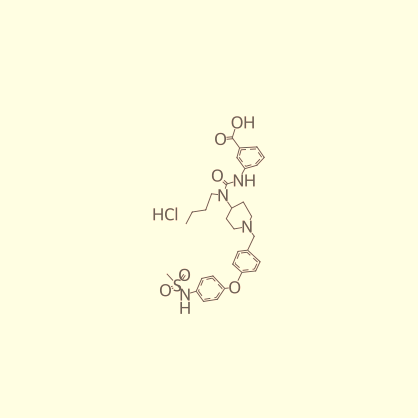 CCCCN(C(=O)Nc1cccc(C(=O)O)c1)C1CCN(Cc2ccc(Oc3ccc(NS(C)(=O)=O)cc3)cc2)CC1.Cl